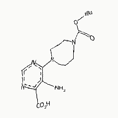 CC(C)(C)OC(=O)N1CCN(c2ncnc(C(=O)O)c2N)CC1